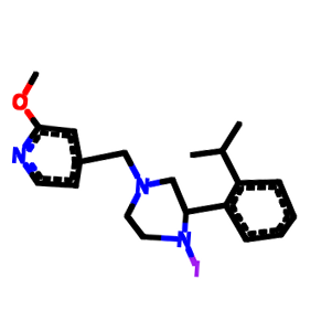 COc1cc(CN2CCN(I)C(c3ccccc3C(C)C)C2)ccn1